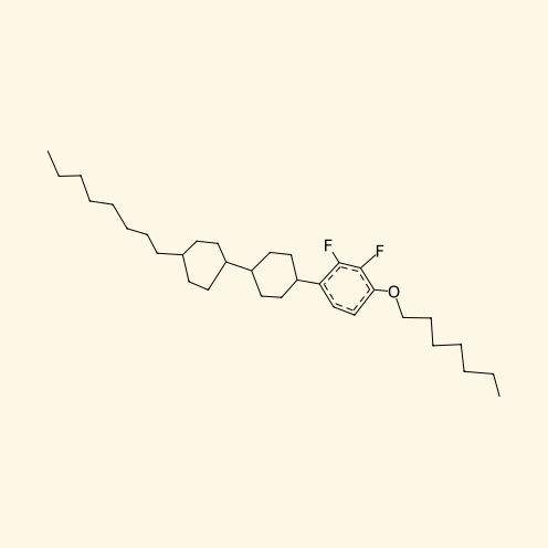 CCCCCCCCC1CCC(C2CCC(c3ccc(OCCCCCCC)c(F)c3F)CC2)CC1